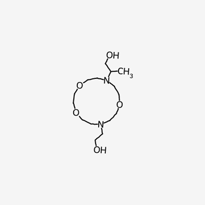 CC(CO)N1CCOCCOCCN(CCO)CCOCC1